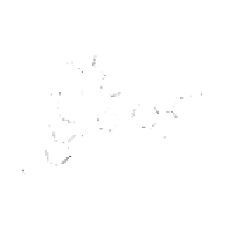 CCC[C@H](NC(=O)[C@@H]1CC(Oc2cc(C3CC3)nc3cc(OC)ccc23)CN1C(=O)[C@@H](NC(=O)NC(C)(C)C)C(C)(C)C)C(=O)C(=O)NC1CC1